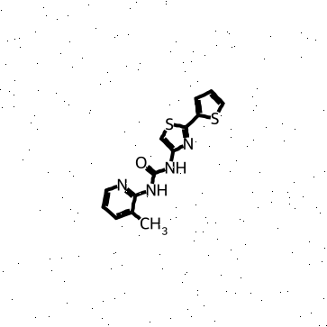 Cc1cccnc1NC(=O)Nc1csc(-c2cccs2)n1